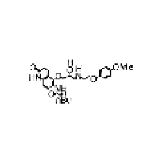 CCCCS(=O)(=O)Nc1ccc2c(c1OCC(O)CNCCOc1ccc(OC)cc1)CCC(=O)N2